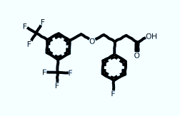 O=C(O)CC(COCc1cc(C(F)(F)F)cc(C(F)(F)F)c1)c1ccc(F)cc1